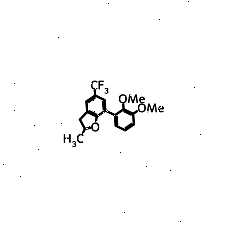 COc1cccc(-c2cc(C(F)(F)F)cc3c2OC(C)C3)c1OC